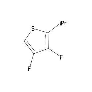 CC(C)c1scc(F)c1F